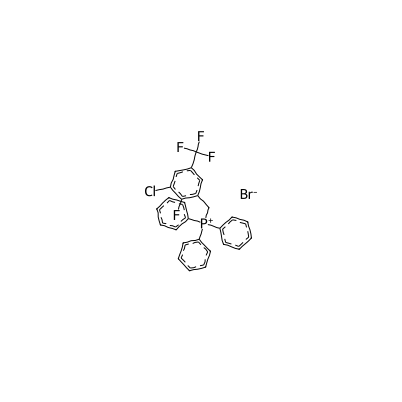 Fc1c(Cl)cc(C(F)(F)F)cc1C[P+](c1ccccc1)(c1ccccc1)c1ccccc1.[Br-]